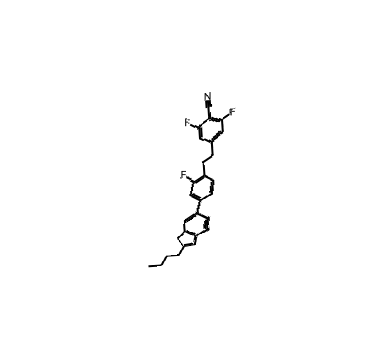 CCCCC1=Cc2ccc(-c3ccc(CCc4cc(F)c(C#N)c(F)c4)c(F)c3)cc2C1